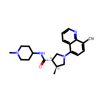 C[C@@H]1CN(c2ccc(C#N)c3ncccc23)C[C@H]1C(=O)NC1CCN(C)CC1